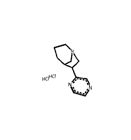 Cl.Cl.c1cnc(C2CN3CCCC2C3)cn1